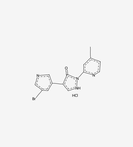 Cc1ccnc(-n2[nH]cc(-c3cncc(Br)c3)c2=O)c1.Cl